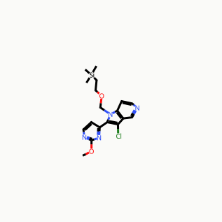 COc1nccc(-c2c(Cl)c3cnccc3n2COCC[Si](C)(C)C)n1